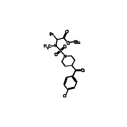 CC(C)C(C(=O)OC(C)(C)C)N(C)S(=O)(=O)N1CCC(C(=O)c2ccc(Cl)cc2)CC1